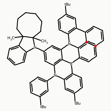 CC(C)(C)c1cccc(N2c3cc(C(C)(C)C)ccc3B3c4ccccc4N(c4ccc(C(C)(C)C)cc4-c4ccccc4)c4cc(N5c6ccccc6C6(C)CCCCCCC56C)cc2c43)c1